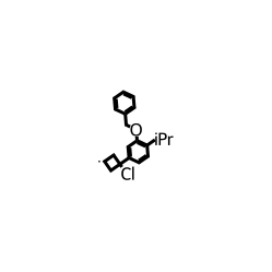 CC(C)c1ccc(C2(Cl)C[CH]C2)cc1OCc1ccccc1